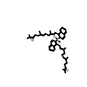 C/C(=C\Cc1c(S(=O)(=O)c2ccc3ccccc3c2C/C=C(\C)CC/C=C(\C)CCC2OC2(C)C)ccc2ccccc12)CC/C=C(\C)CCC1OC1(C)C